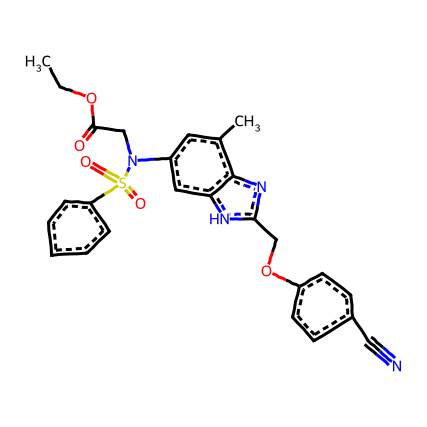 CCOC(=O)CN(c1cc(C)c2nc(COc3ccc(C#N)cc3)[nH]c2c1)S(=O)(=O)c1ccccc1